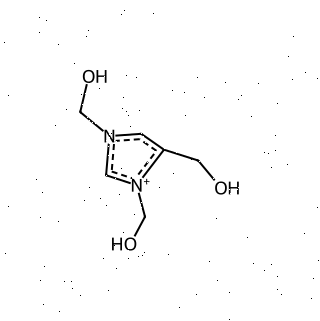 OCc1cn(CO)c[n+]1CO